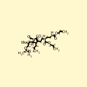 C=CCOC(=O)NCCN(CCC1=C(C(=O)O)N2C(=O)[C@@H]([C@@H](CO[SiH](C)C)C(C)(C)C)[C@H]2C1CC=C)C(=O)OCC=C